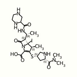 C[C@@H](NC(=O)C1CNCCN1)[C@H]1C(=O)N2C(C(=O)O)=C(S[C@@H]3CN[C@H](C(=O)N(C)C)C3)[C@H](C)C12I